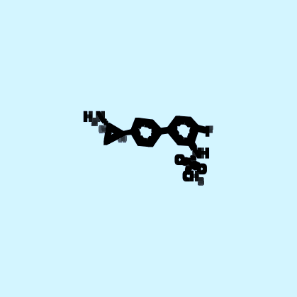 CS(=O)(=O)Nc1cc(-c2ccc([C@H]3C[C@@H]3N)cc2)ccc1F